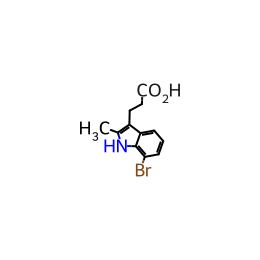 Cc1[nH]c2c(Br)cccc2c1CCC(=O)O